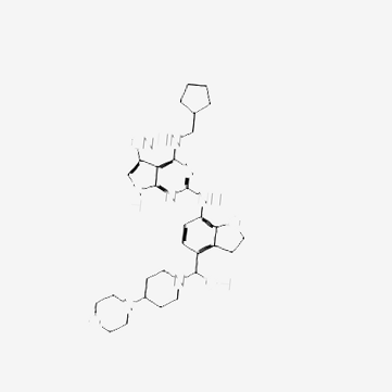 N#Cc1c[nH]c2nc(Nc3ccc(C(O)N4CCC(N5CCOCC5)CC4)c4c3OCC4)nc(NCC3CCCC3)c12